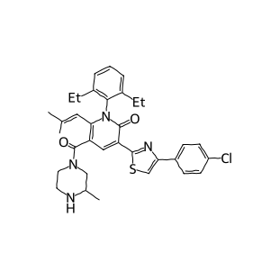 CCc1cccc(CC)c1-n1c(C=C(C)C)c(C(=O)N2CCNC(C)C2)cc(-c2nc(-c3ccc(Cl)cc3)cs2)c1=O